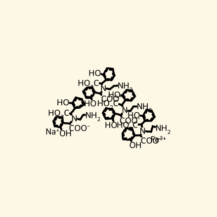 NCCN(C(C(=O)[O-])c1ccccc1O)C(C(=O)O)c1ccccc1O.NCCN(C(C(=O)[O-])c1ccccc1O)C(C(=O)O)c1ccccc1O.NCCN(C(C(=O)[O-])c1ccccc1O)C(C(=O)O)c1ccccc1O.NCCN(C(C(=O)[O-])c1ccccc1O)C(C(=O)O)c1ccccc1O.[Fe+3].[Na+]